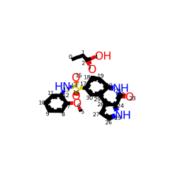 CCC(=O)O.COc1ccccc1NS(=O)(=O)c1ccc2[nH]c(=O)c3[nH]ccc3c2c1